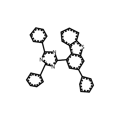 c1ccc(-c2cc(-c3nc(-c4ccccc4)nc(-c4ccccc4)n3)c3c(c2)sc2ccccc23)cc1